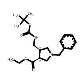 CCOC(=O)[C@@H]1CN(Cc2ccccc2)C[C@@H]1CNC(=O)OC(C)(C)C